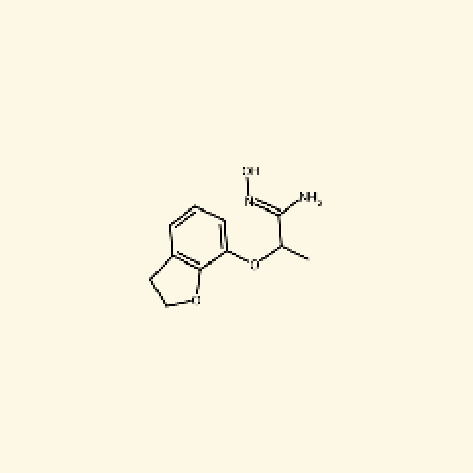 CC(Oc1cccc2c1OCC2)C(N)=NO